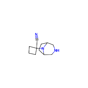 N#CC1(N2C3CCC2CNC3)CCC1